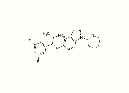 C[C@H](N)[C@H](Oc1ccc2c(cnn2C2CCCCO2)c1)c1cc(F)cc(F)c1